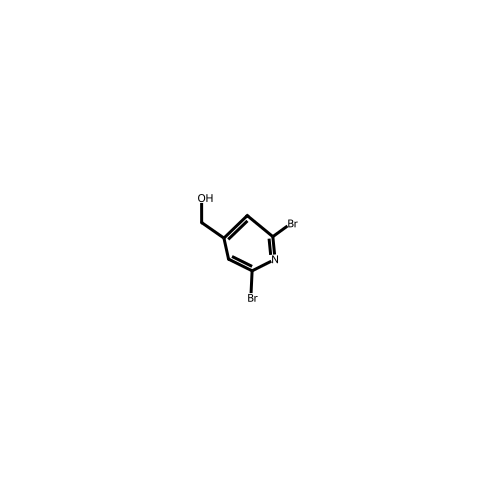 OCc1cc(Br)nc(Br)c1